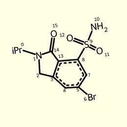 CC(C)N1Cc2cc(Br)cc(S(N)(=O)=O)c2C1=O